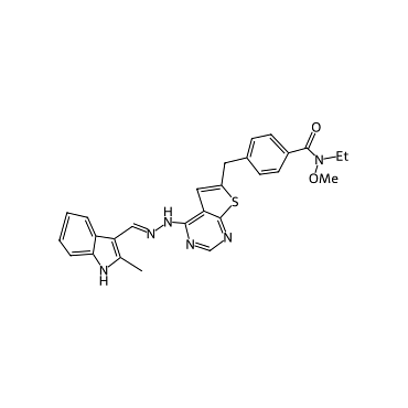 CCN(OC)C(=O)c1ccc(Cc2cc3c(NN=Cc4c(C)[nH]c5ccccc45)ncnc3s2)cc1